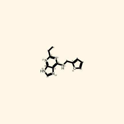 CCc1nc(NCc2ccco2)c2nc[nH]c2n1